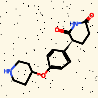 O=C1CC[C@H](c2ccc(OC3CCNCC3)cc2)C(=O)N1